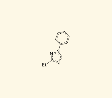 CCc1ncn(-c2ccccc2)n1